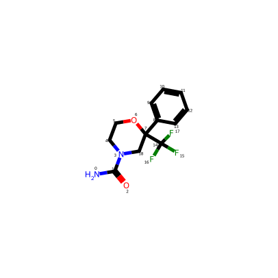 NC(=O)N1CCOC(c2ccccc2)(C(F)(F)F)C1